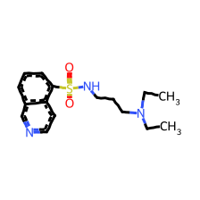 CCN(CC)CCCNS(=O)(=O)c1cccc2cnccc12